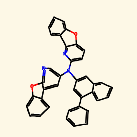 c1ccc(-c2cc(N(c3cnc4oc5ccccc5c4c3)c3ccc4oc5ccccc5c4n3)cc3ccccc23)cc1